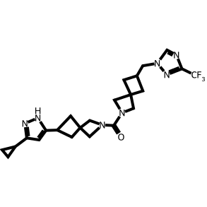 O=C(N1CC2(CC(Cn3cnc(C(F)(F)F)n3)C2)C1)N1CC2(CC(c3cc(C4CC4)n[nH]3)C2)C1